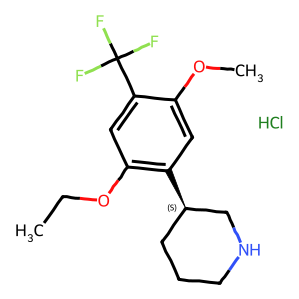 CCOc1cc(C(F)(F)F)c(OC)cc1[C@@H]1CCCNC1.Cl